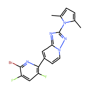 Cc1ccc(C)n1-c1nc2cc(-c3nc(Br)c(F)cc3F)ccn2n1